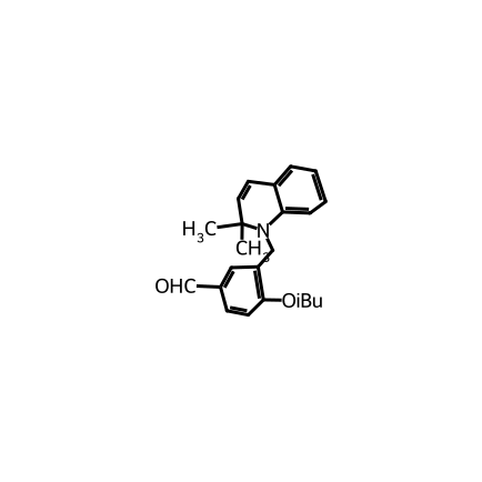 CC(C)COc1ccc(C=O)cc1CN1c2ccccc2C=CC1(C)C